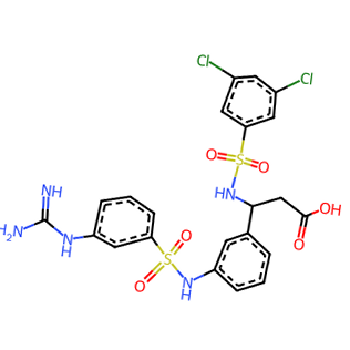 N=C(N)Nc1cccc(S(=O)(=O)Nc2cccc(C(CC(=O)O)NS(=O)(=O)c3cc(Cl)cc(Cl)c3)c2)c1